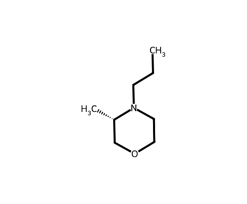 CCCN1CCOC[C@@H]1C